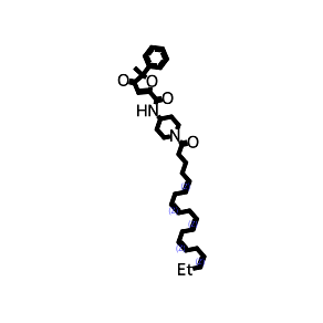 CC/C=C\C/C=C\C/C=C\C/C=C\C/C=C\CCCC(=O)N1CCC(NC(=O)C2=CC(=O)C(C)(c3ccccc3)O2)CC1